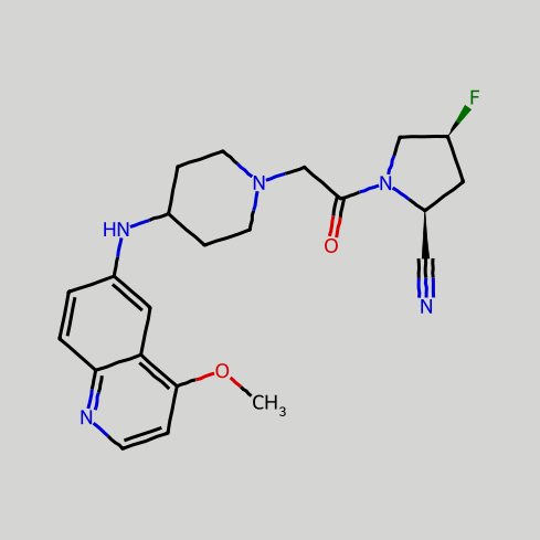 COc1ccnc2ccc(NC3CCN(CC(=O)N4C[C@@H](F)C[C@H]4C#N)CC3)cc12